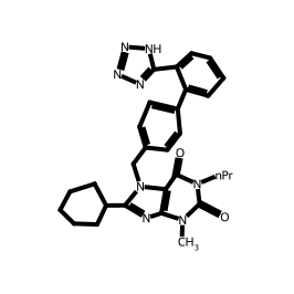 CCCn1c(=O)c2c(nc(C3CCCCC3)n2Cc2ccc(-c3ccccc3-c3nnn[nH]3)cc2)n(C)c1=O